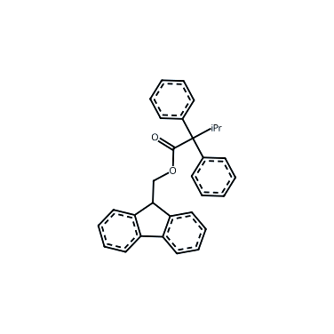 CC(C)C(C(=O)OCC1c2ccccc2-c2ccccc21)(c1ccccc1)c1ccccc1